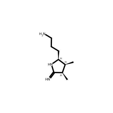 C[C@@H]1[C@H](CCCN)NC(=N)[C@@H]1C